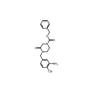 N#Cc1ccc(CN2CCN(C(=O)OCc3ccccc3)CC2=O)cc1N